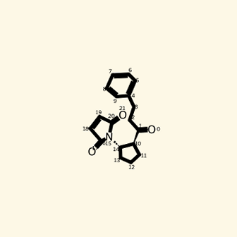 O=C(CCc1ccccc1)[C@H]1CCC[C@@H]1N1C(=O)C=CC1=O